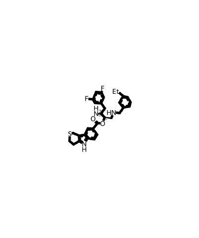 CCc1cccc(CNC[C@@H](OC(=O)c2ccc3[nH]c4c(c3c2)CSCC4)[C@@H](N)Cc2cc(F)cc(F)c2)c1